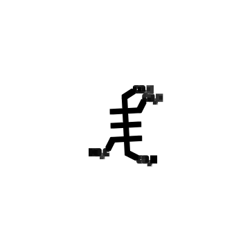 CC(CC(=O)O)(CC(=O)O)C(C)(C)C(C)(CC(=O)O)CC(=O)O